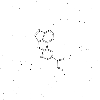 NC(=O)c1cnc2cc3c4c(cccc4c2c1)N=C3